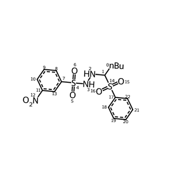 CCCCC(NNS(=O)(=O)c1cccc([N+](=O)[O-])c1)S(=O)(=O)c1ccccc1